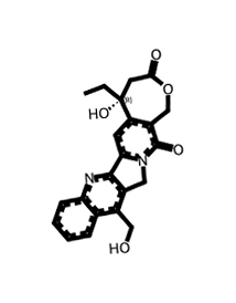 CC[C@@]1(O)CC(=O)OCc2c1cc1n(c2=O)Cc2c-1nc1ccccc1c2CO